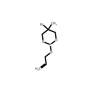 C=CCOP1OCC(C)(CC)CO1